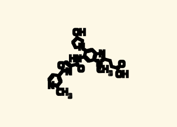 Cc1cc(-c2nc(C(=O)Nc3cc4c(cc3N3CCC(O)C3)nc(CCC(=O)O)n4C)co2)ccn1